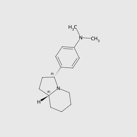 CN(C)c1ccc([C@H]2CC[C@H]3CCCCN32)cc1